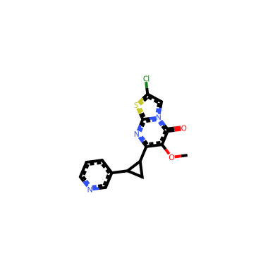 COc1c(C2CC2c2cccnc2)nc2sc(Cl)cn2c1=O